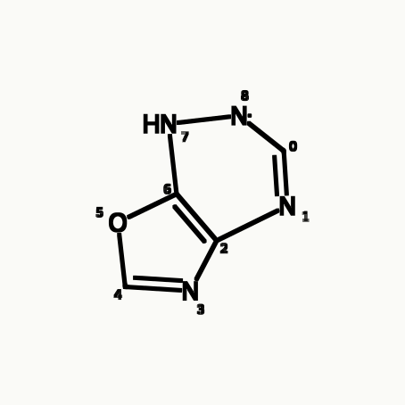 C1=Nc2ncoc2N[N]1